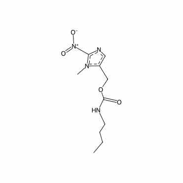 CCCCNC(=O)OCc1cnc([N+](=O)[O-])n1C